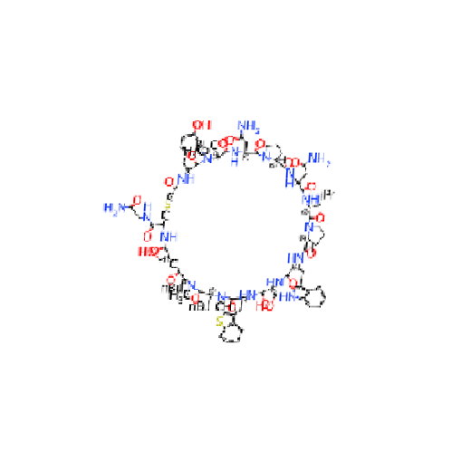 CCCC[C@H]1C(=O)N(C)[C@@H](CCCC)C(=O)C[C@@H](CO)C(=O)NC(C(=O)NCC(N)=O)CSCC(=O)N[C@@H](Cc2ccc(O)cc2)C(=O)N(C)[C@@H](C)C(=O)N[C@@H](CC(N)=O)C(=O)N2CCC[C@H]2C(=O)N[C@@H](CC(N)=O)C(=O)N[C@@H](CC(C)C)C(=O)N2CCC[C@H]2C(=O)N[C@@H](Cc2c[nH]c3ccccc23)C(=O)N[C@@H](CO)C(=O)N[C@@H](Cc2csc3ccccc23)C(=O)N1C